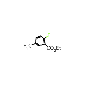 CCOC(=O)c1cc(C(F)(F)F)ccc1F